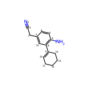 N#CCc1ccc(N)c(C2=CCCCC2)c1